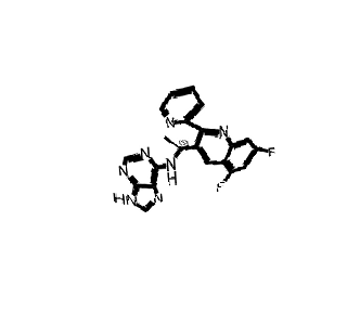 C[C@H](Nc1ncnc2[nH]cnc12)c1cc2c(F)cc(F)cc2nc1-c1ccccn1